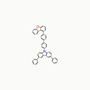 c1ccc(-c2ccc3c(c2)c2cc(-c4ccccc4)ccc2n3-c2ccc(-c3ccc(-c4cccc5oc6ccccc6c45)cc3)cc2)cc1